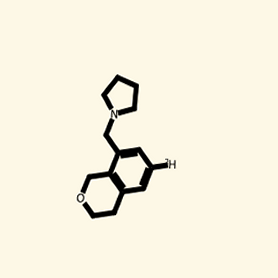 [2H]c1cc2c(c(CN3CCCC3)c1)COCC2